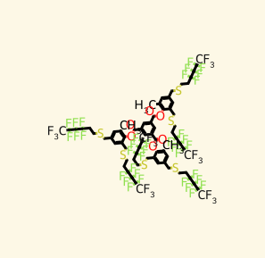 Cc1cc(CSCCC(F)(F)C(F)(F)C(F)(F)C(F)(F)F)cc(CSCCC(F)(F)C(F)(F)C(F)(F)C(F)(F)F)c1OC(=O)c1cc(C(=O)Oc2c(C)cc(CSCCC(F)(F)C(F)(F)C(F)(F)C(F)(F)F)cc2CSCCC(F)(F)C(F)(F)C(F)(F)C(F)(F)F)cc(C(=O)Oc2c(C)cc(CSCCC(F)(F)C(F)(F)C(F)(F)C(F)(F)F)cc2CSCCC(F)(F)C(F)(F)C(F)(F)C(F)(F)F)c1